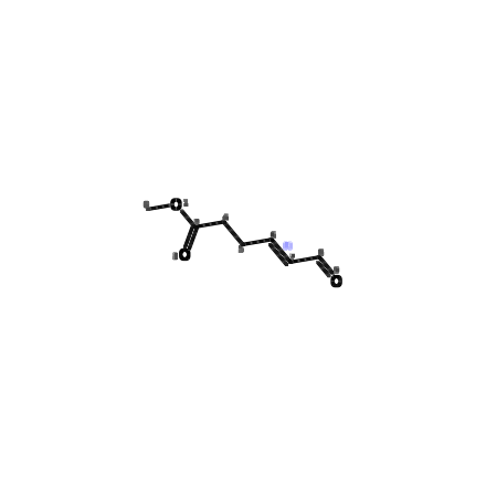 COC(=O)CC/C=C/C=O